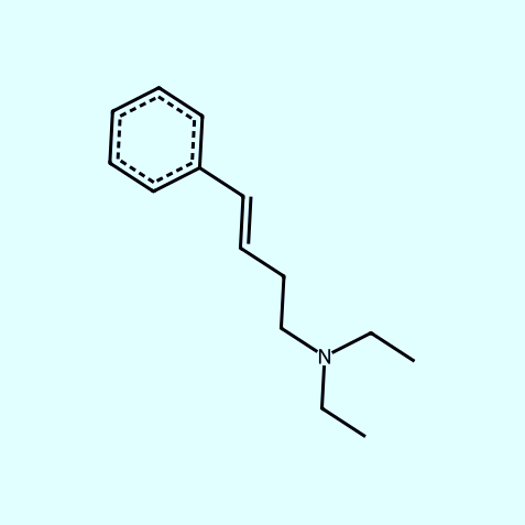 CCN(CC)CC/C=C/c1ccccc1